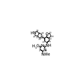 CNc1cc(C)nc(Nc2cc3c(c(N4CC5CNCC5C4)c2)OCC3)n1